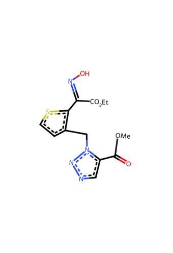 CCOC(=O)C(=NO)c1sccc1Cn1nncc1C(=O)OC